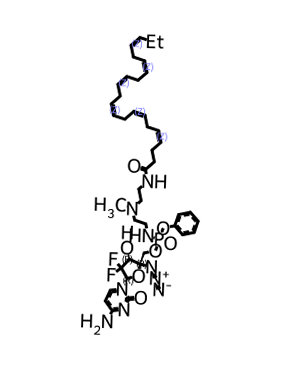 CC/C=C\C/C=C\C/C=C\C/C=C\C/C=C\C/C=C\CCC(=O)NCCN(C)CCNP(=O)(OC[C@@]1(N=[N+]=[N-])O[C@@H](n2ccc(N)nc2=O)C(F)(F)[C@@H]1O)Oc1ccccc1